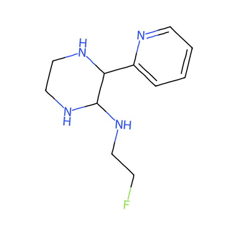 FCCNC1NCCNC1c1ccccn1